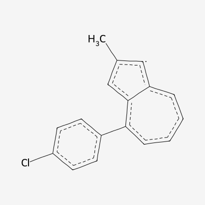 Cc1[c]c2ccccc(-c3ccc(Cl)cc3)c-2c1